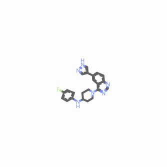 Fc1ccc(NC2CCN(c3ncnc4ccc(-c5cn[nH]c5)cc34)CC2)cc1